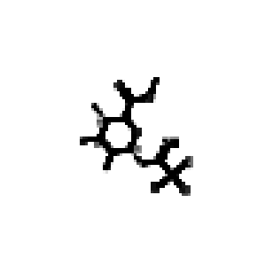 COC(=O)C1O[C@H](CC(=N)C(Cl)(Cl)Cl)C(C)[C@@H](C)[C@@H]1C